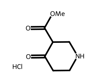 COC(=O)C1CNCCC1=O.Cl